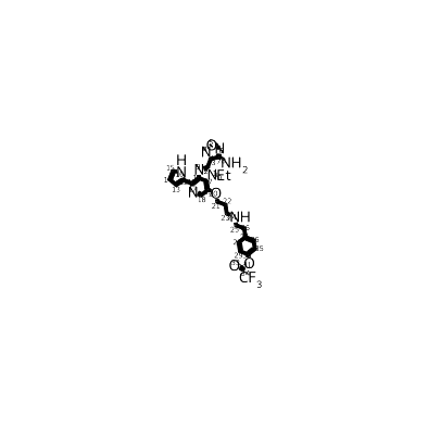 CCn1c(-c2nonc2N)nc2c(-c3ccc[nH]3)ncc(OCCCNCCc3ccc(OC(=O)C(F)(F)F)cc3)c21